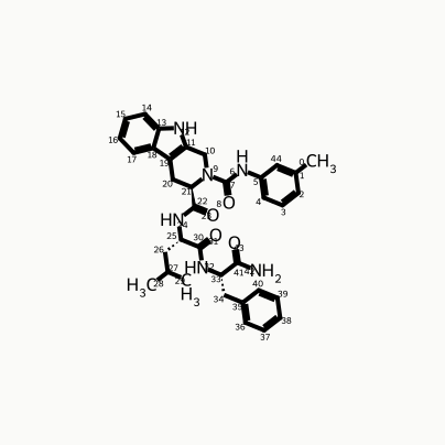 Cc1cccc(NC(=O)N2Cc3[nH]c4ccccc4c3C[C@@H]2C(=O)N[C@@H](CC(C)C)C(=O)N[C@@H](Cc2ccccc2)C(N)=O)c1